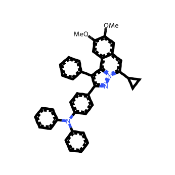 COc1cc2cc(C3CC3)n3nc(-c4ccc(N(c5ccccc5)c5ccccc5)cc4)c(-c4ccccc4)c3c2cc1OC